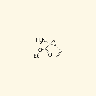 C=C[C@H]1C[C@]1(N)C(=O)OCC